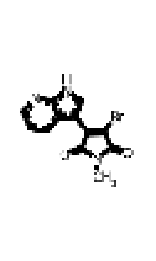 CN1C(=O)C(Br)=C(c2c[nH]c3ncccc23)C1=O